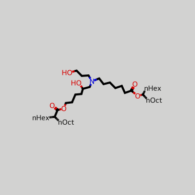 CCCCCCCCC(CCCCCC)OC(=O)CCCCCCN(CCCO)CC(O)CCCCOC(=O)C(CCCCCC)CCCCCCCC